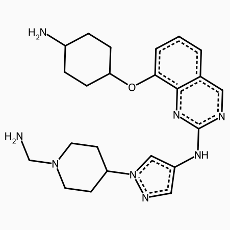 NCN1CCC(n2cc(Nc3ncc4cccc(OC5CCC(N)CC5)c4n3)cn2)CC1